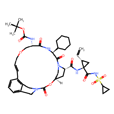 C=C[C@@H]1C[C@]1(NC(=O)[C@@H]1C[C@@H]2CN1C(=O)[C@H](C1CCCCC1)NC(=O)[C@@H](NC(=O)OC(C)(C)C)COC/C=C/c1cccc3c1CN(C3)C(=O)O2)C(=O)NS(=O)(=O)C1CC1